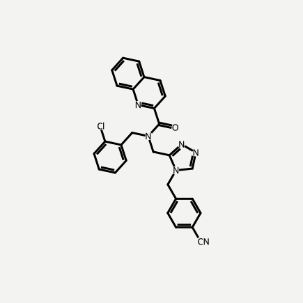 N#Cc1ccc(Cn2cnnc2CN(Cc2ccccc2Cl)C(=O)c2ccc3ccccc3n2)cc1